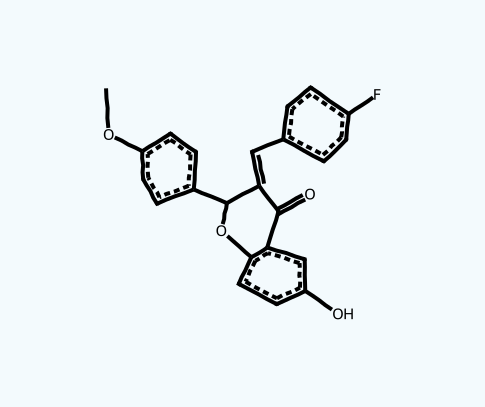 COc1ccc(C2Oc3ccc(O)cc3C(=O)C2=Cc2ccc(F)cc2)cc1